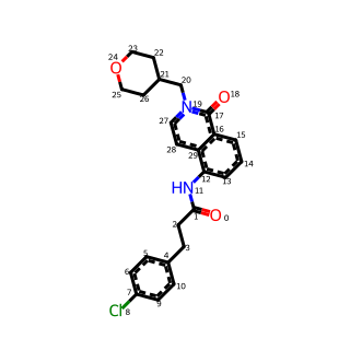 O=C(CCc1ccc(Cl)cc1)Nc1cccc2c(=O)n(CC3CCOCC3)ccc12